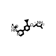 COC(=O)Nc1cc(-c2ccc(OC[C@@](C)(N)CC(C)C)c(C3CC3)c2)ccn1